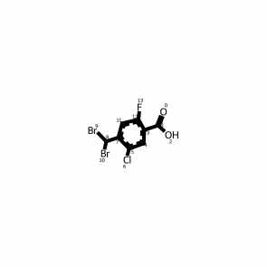 O=C(O)c1cc(Cl)c(C(Br)Br)cc1F